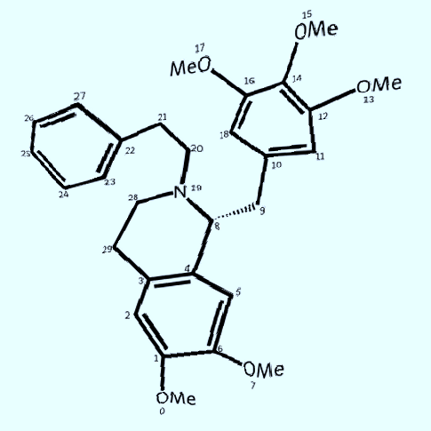 COc1cc2c(cc1OC)[C@@H](Cc1cc(OC)c(OC)c(OC)c1)N(CCc1ccccc1)CC2